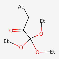 CCOC(OCC)(OCC)C(=O)CC(C)=O